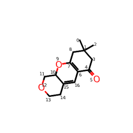 CC1(C)CC(=O)C2=C(C1)OC1COCCC1=C2